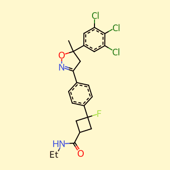 CCNC(=O)C1CC(F)(c2ccc(C3=NOC(C)(c4cc(Cl)c(Cl)c(Cl)c4)C3)cc2)C1